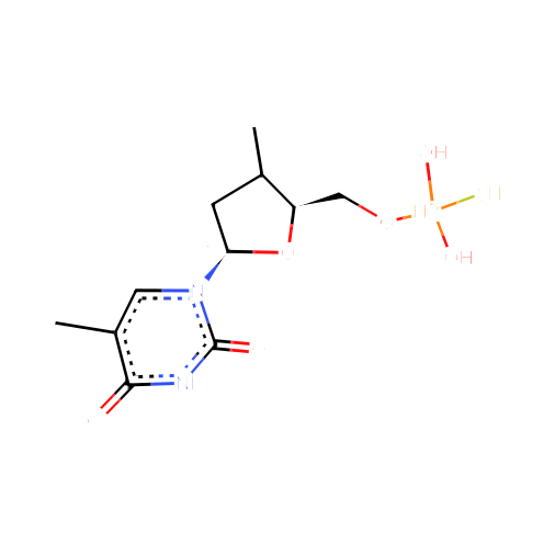 Cc1cn([C@H]2CC(C)[C@@H](CO[PH](O)(O)S)O2)c(=O)[nH]c1=O